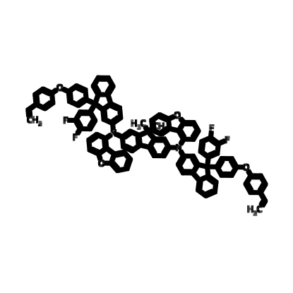 C=Cc1ccc(Oc2ccc(C3(c4ccc(F)c(F)c4)c4ccccc4-c4ccc(N(c5ccc6c(c5)C(C)(C)c5cc(N(c7ccc8c(c7)C(c7ccc(Oc9ccc(C=C)cc9)cc7)(c7ccc(F)c(F)c7)c7ccccc7-8)c7cccc8oc9ccccc9c78)ccc5-6)c5cccc6oc7ccccc7c56)cc43)cc2)cc1